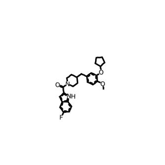 COc1ccc(CC2CCN(C(=O)c3cc4cc(F)ccc4[nH]3)CC2)cc1OC1CCCC1